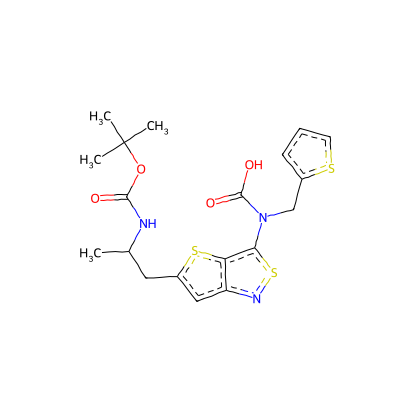 CC(Cc1cc2nsc(N(Cc3cccs3)C(=O)O)c2s1)NC(=O)OC(C)(C)C